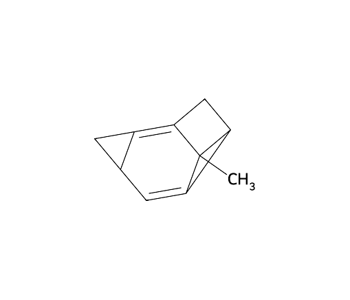 CC12C3=CC4CC4=C1CC32